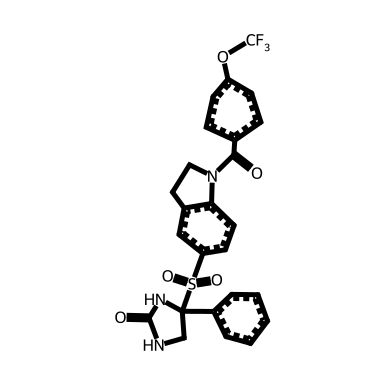 O=C1NCC(c2ccccc2)(S(=O)(=O)c2ccc3c(c2)CCN3C(=O)c2ccc(OC(F)(F)F)cc2)N1